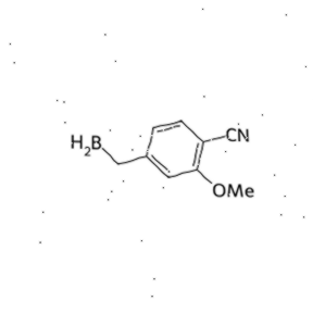 BCc1ccc(C#N)c(OC)c1